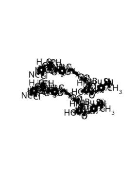 Cc1ncsc1-c1ccc(CNC(=O)C2CC(O)CN2C(=O)[C@@H](NC(=O)COCCCC[C@@H](C)Oc2ccc(C(=O)N[C@H]3C(C)(C)[C@H](Oc4ccc(C#N)c(Cl)c4)C3(C)C)cc2)C(C)(C)C)cc1.Cc1ncsc1-c1ccc(CNC(=O)[C@@H]2C[C@@H](O)CN2C(=O)[C@@H](NC(=O)COCCCC[C@H](C)Oc2ccc(C(=O)N[C@H]3C(C)(C)[C@H](Oc4ccc(C#N)c(Cl)c4)C3(C)C)cc2)C(C)(C)C)cc1